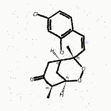 C[C@H]1C(=O)C[C@@H]2C[C@H]1OO[C@@]2(C)/C=C\c1ccc(Cl)cc1Cl